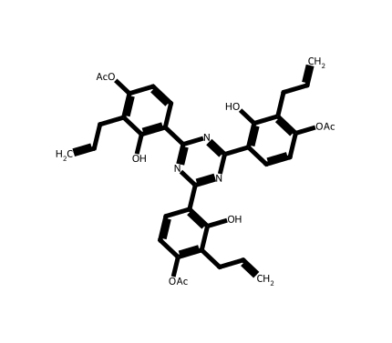 C=CCc1c(OC(C)=O)ccc(-c2nc(-c3ccc(OC(C)=O)c(CC=C)c3O)nc(-c3ccc(OC(C)=O)c(CC=C)c3O)n2)c1O